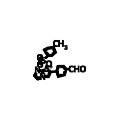 Cc1ccc(S(=O)(=O)O[s+]2c(-c3ccc(C=O)cc3)cn3ccnc32)cc1